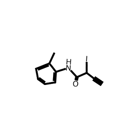 C#CC(I)C(=O)Nc1ccccc1C